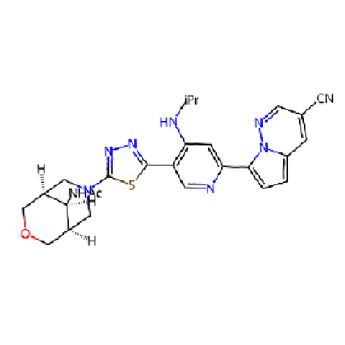 CC(=O)N[C@H]1[C@@H]2COC[C@H]1CN(c1nnc(-c3cnc(-c4ccc5cc(C#N)cnn45)cc3NC(C)C)s1)C2